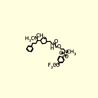 CN(C)C(CCc1ccccc1)C1CCC(CNC(=O)COCCN(C)S(=O)(=O)c2ccc(OC(F)(F)F)cc2)CC1